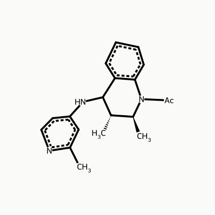 CC(=O)N1c2ccccc2C(Nc2ccnc(C)c2)[C@@H](C)[C@@H]1C